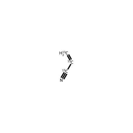 [13CH2]=[13CH][13C]#N